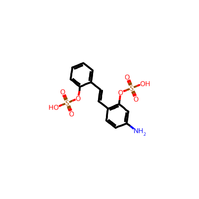 Nc1ccc(C=Cc2ccccc2OS(=O)(=O)O)c(OS(=O)(=O)O)c1